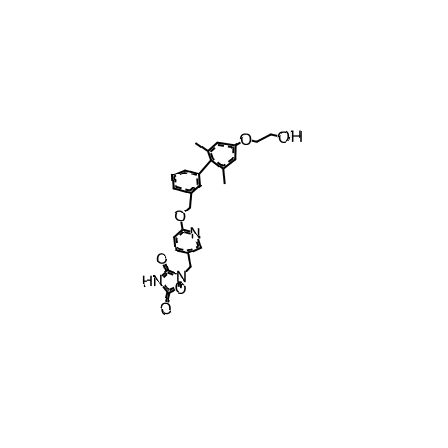 Cc1cc(OCCO)cc(C)c1-c1cccc(COc2ccc(Cn3oc(=O)[nH]c3=O)cn2)c1